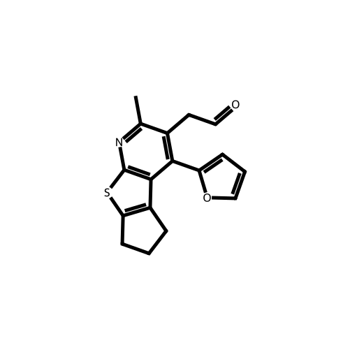 Cc1nc2sc3c(c2c(-c2ccco2)c1CC=O)CCC3